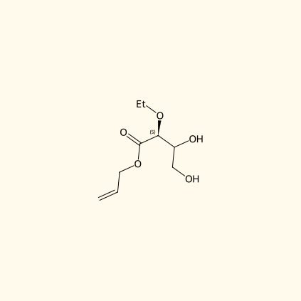 C=CCOC(=O)[C@@H](OCC)C(O)CO